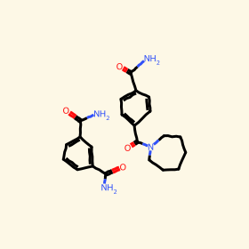 NC(=O)c1ccc(C(=O)N2CCCCCC2)cc1.NC(=O)c1cccc(C(N)=O)c1